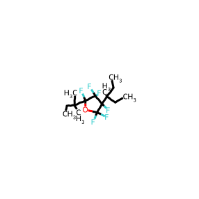 CCC(C)(C)C1(F)OC(F)(F)C(F)(C(C)(CC)CC)C1(F)F